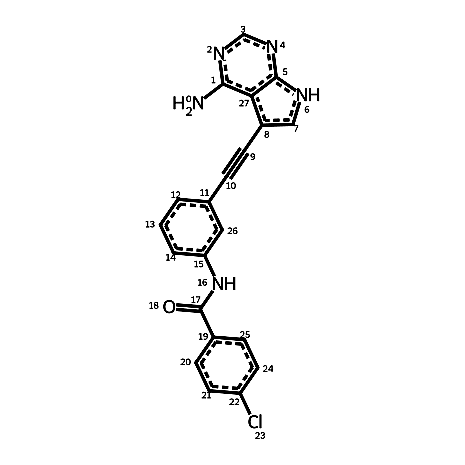 Nc1ncnc2[nH]cc(C#Cc3cccc(NC(=O)c4ccc(Cl)cc4)c3)c12